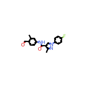 Cc1cc(NC(=O)c2cn(-c3ccc(F)cc3)nc2C)ccc1C=O